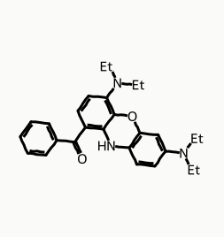 CCN(CC)c1ccc2c(c1)Oc1c(N(CC)CC)ccc(C(=O)c3ccccc3)c1N2